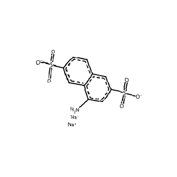 Nc1cc(S(=O)(=O)[O-])cc2ccc(S(=O)(=O)[O-])cc12.[Na+].[Na+]